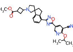 COC(=O)C1CC(N2CCC3(CCc4c(-c5noc(-c6cnc(OC(C)C)c(C#N)c6)n5)cccc43)C2)C1